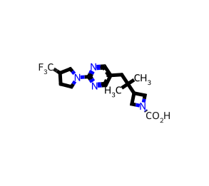 CC(C)(Cc1cnc(N2CCC(C(F)(F)F)C2)nc1)C1CN(C(=O)O)C1